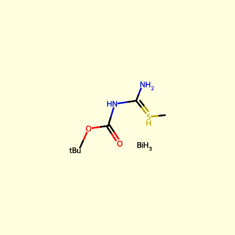 C[SH]=C(N)NC(=O)OC(C)(C)C.[BiH3]